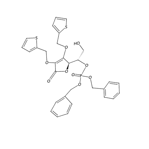 O=C1O[C@H]([C@H](CO)OP(=O)(OCc2ccccc2)OCc2ccccc2)C(OCc2cccs2)=C1OCc1cccs1